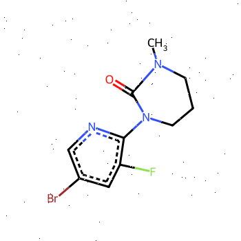 CN1CCCN(c2ncc(Br)cc2F)C1=O